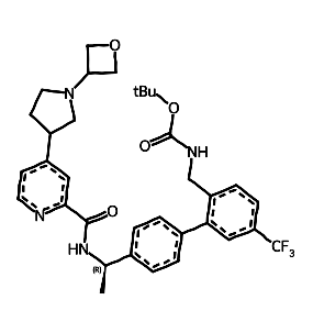 C[C@@H](NC(=O)c1cc(C2CCN(C3COC3)C2)ccn1)c1ccc(-c2cc(C(F)(F)F)ccc2CNC(=O)OC(C)(C)C)cc1